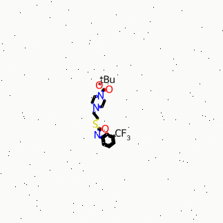 CC(C)(C)OC(=O)N1CCN(CCSc2nc3cccc(C(F)(F)F)c3o2)CC1